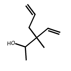 C=CCC(C)(C=C)C(C)O